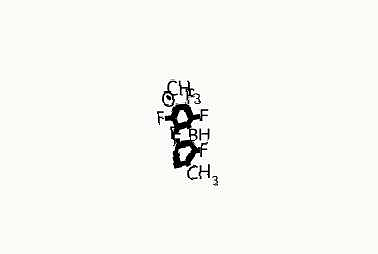 COc1c(F)c(F)c(Bc2c(F)ccc(C)c2F)c(F)c1F